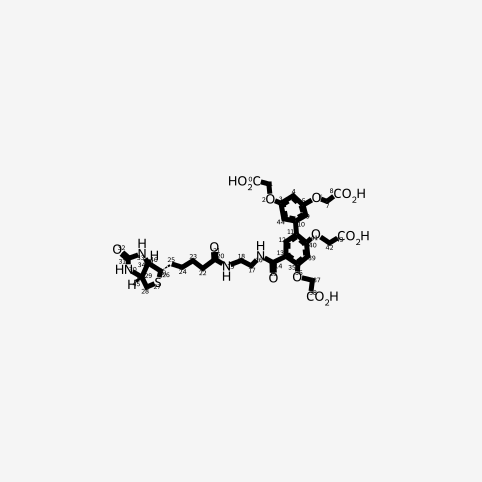 O=C(O)COc1cc(OCC(=O)O)cc(-c2cc(C(=O)NCCNC(=O)CCCC[C@@H]3SC[C@@H]4NC(=O)N[C@@H]43)c(OCC(=O)O)cc2OCC(=O)O)c1